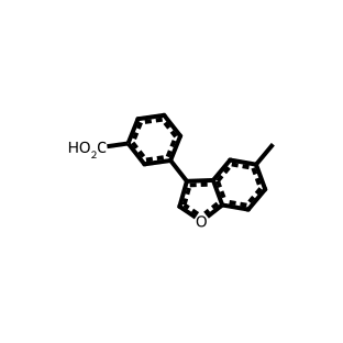 Cc1ccc2occ(-c3cccc(C(=O)O)c3)c2c1